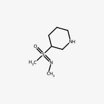 CN=S(C)(=O)C1CCCNC1